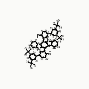 CC(C)(C)c1cc(-c2ccc(F)c3c4c5c6ccccc6n6c7c(-c8cc(C(C)(C)C)cc(C(C)(C)C)c8)ccc(F)c7c(c7c8ccccc8n(c23)c74)c56)cc(C(C)(C)C)c1